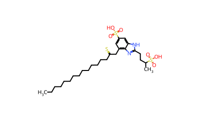 CCCCCCCCCCCCCCC(=S)Cc1cc(S(=O)(=O)O)cc2[nH]c(CCC(C)S(=O)(=O)O)nc12